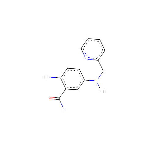 CN(Cc1ccccn1)c1ccc(N)c(C(N)=O)c1